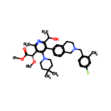 Cc1cc(F)ccc1CN1CCc2cc(-c3c(C(C)O)nc(C)c([C@H](OC(C)(C)C)C(=O)OC(C)C)c3N3CCC(C)(C)CC3)ccc2C1